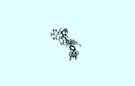 BC(B)(NC(=O)c1sc2nnc(C)c(C)c2c1N)c1ccc(S(=O)(=O)C(F)F)cc1